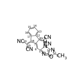 Cc1nc2[nH]c(C=C3C(=C(C#N)C#N)c4ccccc4C3=C(C#N)C#N)nc2o1